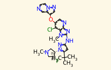 CN1C[C@@H](F)[C@@H](n2nc(Nc3nc4ncc(Oc5cnn6ccncc56)c(Cl)c4n3C)cc2C(C)(C)C)C1